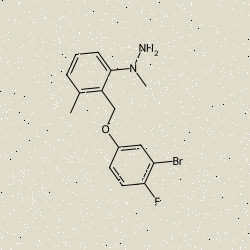 Cc1cccc(N(C)N)c1COc1ccc(F)c(Br)c1